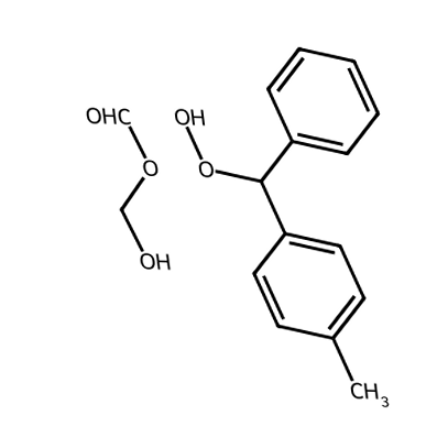 Cc1ccc(C(OO)c2ccccc2)cc1.O=COCO